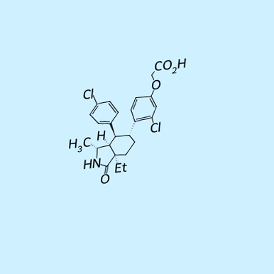 CC[C@@]12CC[C@@H](c3ccc(OCC(=O)O)cc3Cl)[C@H](c3ccc(Cl)cc3)[C@@H]1[C@@H](C)NC2=O